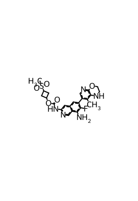 Cc1c(-c2cc3cc(NC(=O)OC4CC(S(C)(=O)=O)C4)ncc3c(N)c2F)cnc2c1NCCO2